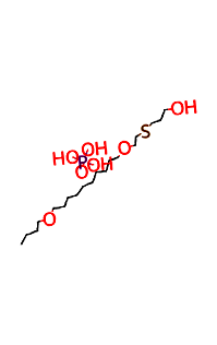 CCCCOCCCCCCCCCCOCCSCCCO.O=P(O)(O)O